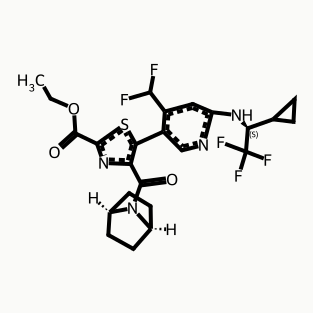 CCOC(=O)c1nc(C(=O)N2[C@H]3CC[C@@H]2CC3)c(-c2cnc(N[C@@H](C3CC3)C(F)(F)F)cc2C(F)F)s1